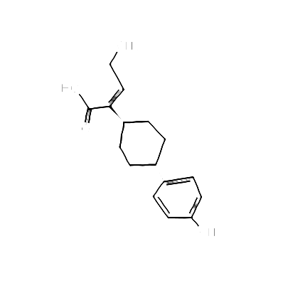 CCC=C(C(=O)O)[C@H]1CC[C@H](c2ccc(C)cc2)CC1